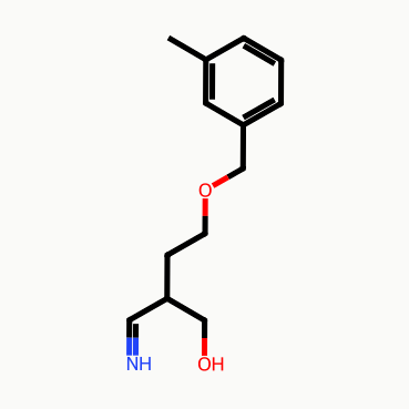 Cc1cccc(COCCC(C=N)CO)c1